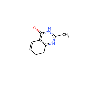 Cc1nc2c(c(=O)[nH]1)C=CCC2